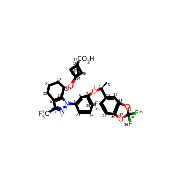 C[C@H](Oc1cc(-n2nc(C(F)(F)F)c3c2[C@@H](OC24CC(C(=O)O)(C2)C4)CCC3)ccc1F)c1ccc2c(c1)OC(F)(F)O2